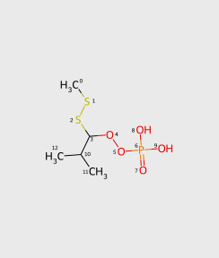 CSSC(OOP(=O)(O)O)C(C)C